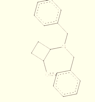 COC1CCC1N(Cc1ccccc1)Cc1ccccc1